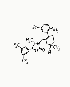 CC(C)c1ccc(N)c(C2=C(CN3C(=O)O[C@H](c4cc(C(F)(F)F)cc(C(F)(F)F)c4)[C@@H]3C)CC(C)(C)CC2)c1